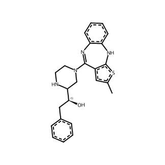 Cc1cc2c(s1)Nc1ccccc1N=C2N1CCNC([C@@H](O)Cc2ccccc2)C1